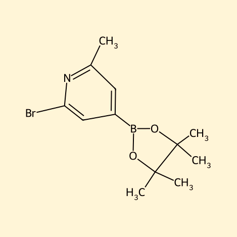 Cc1cc(B2OC(C)(C)C(C)(C)O2)cc(Br)n1